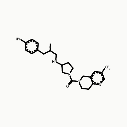 CC(CNC1CCN(C(=O)N2CCc3ncc(C(F)(F)F)cc3C2)C1)Cc1ccc(C(C)C)cc1